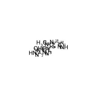 CN(Cc1nc[nH]n1)/N=C\c1c(C=O)n(C)c2nc(Cc3cc[nH]n3)sc12